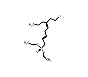 CCCC(=CCC=CCP(=O)(OCC)OCC)CCC